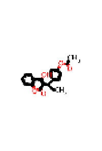 CCC(c1ccc(OC(C)=O)cc1)c1c(O)c2ccccc2oc1=O